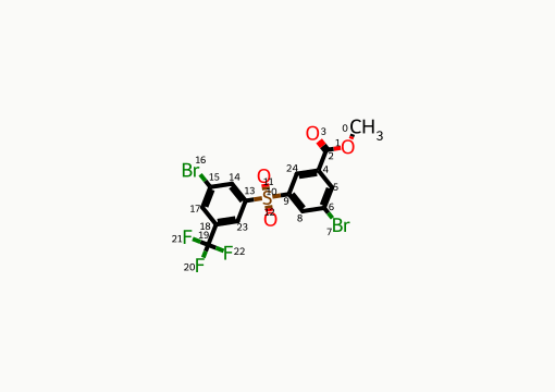 COC(=O)c1cc(Br)cc(S(=O)(=O)c2cc(Br)cc(C(F)(F)F)c2)c1